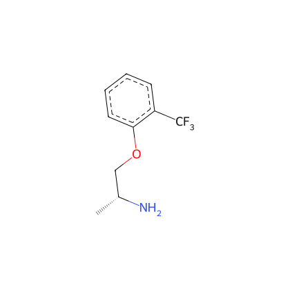 C[C@@H](N)COc1ccccc1C(F)(F)F